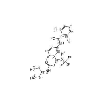 O=C(Cn1c(C(F)(F)F)nc2c(NC(=O)c3c(Cl)cccc3Cl)cccc21)NC(CO)CO